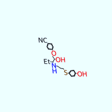 CCC(NCCCSc1ccc(O)cc1)C(O)COc1ccc(C#N)cc1